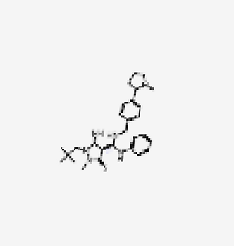 CN1CCCC1c1ccc(CN/C(Nc2ccccc2)=C2\C(=N)N(CC(C)(C)C)N(C)C2=S)cc1